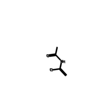 C=C(Cl)NC(C)=O